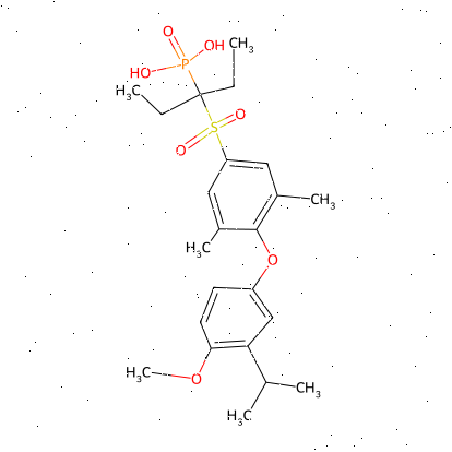 CCC(CC)(P(=O)(O)O)S(=O)(=O)c1cc(C)c(Oc2ccc(OC)c(C(C)C)c2)c(C)c1